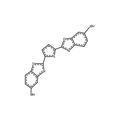 CC(C)(C)c1ccc2oc(-c3ccc(-c4nc5ccc(C(C)(C)C)cc5o4)s3)nc2c1